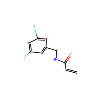 C=CC(=O)NCc1cc(F)cc(F)c1